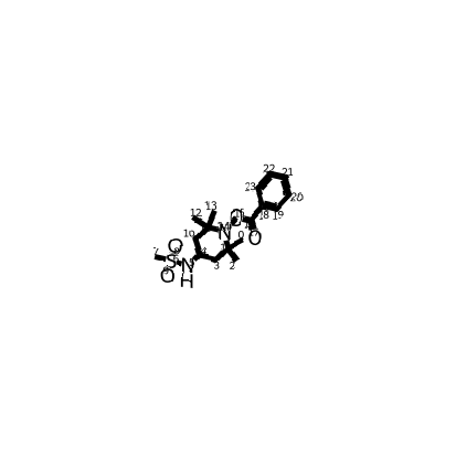 CC1(C)CC(NS(C)(=O)=O)CC(C)(C)N1OC(=O)c1ccccc1